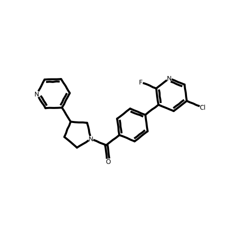 O=C(c1ccc(-c2cc(Cl)cnc2F)cc1)N1CCC(c2cccnc2)C1